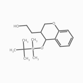 CC(C)(C)[Si](C)(C)OC1c2ccccc2OCC1CCO